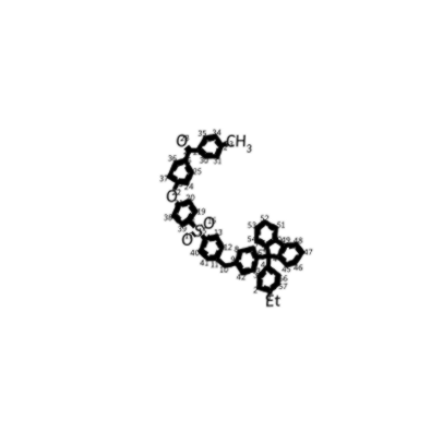 CCc1ccc(C2(c3ccc(Cc4ccc(S(=O)(=O)c5ccc(Oc6ccc(C(=O)c7ccc(C)cc7)cc6)cc5)cc4)cc3)c3ccccc3-c3ccccc32)cc1